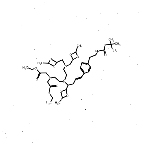 CCOC(=O)CN(CCN(CCN(CC1OC(C)O1)CC1OC(C)O1)C(C/C=C/c1ccc(CCNC(=O)OC(C)(C)C)cc1)C1OC(C)O1)CC(=O)OCC